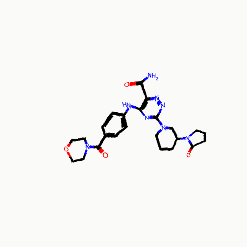 NC(=O)c1nnc(N2CCCC(N3CCCC3=O)C2)nc1Nc1ccc(C(=O)N2CCOCC2)cc1